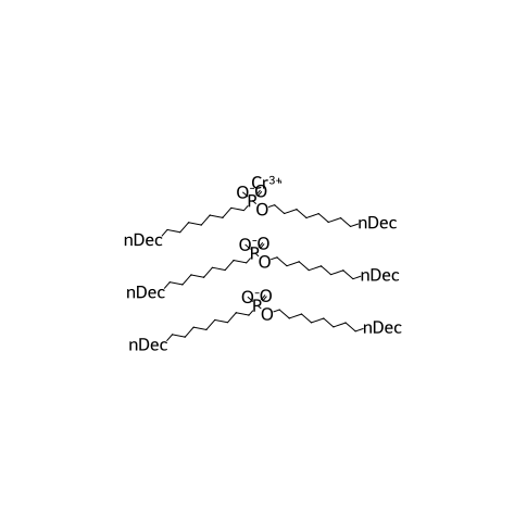 CCCCCCCCCCCCCCCCCCOP(=O)([O-])CCCCCCCCCCCCCCCCCC.CCCCCCCCCCCCCCCCCCOP(=O)([O-])CCCCCCCCCCCCCCCCCC.CCCCCCCCCCCCCCCCCCOP(=O)([O-])CCCCCCCCCCCCCCCCCC.[Cr+3]